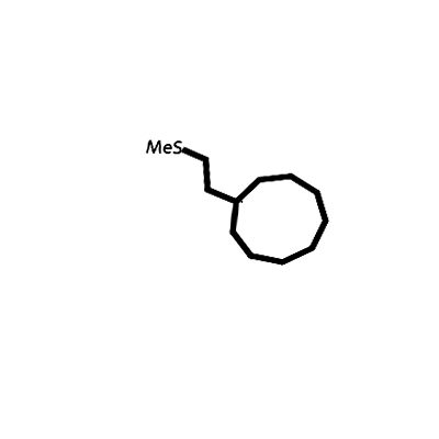 CSCC[C]1CCCCCCCC1